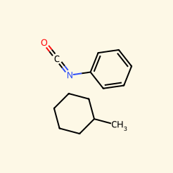 CC1CCCCC1.O=C=Nc1ccccc1